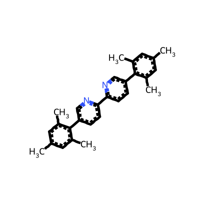 Cc1cc(C)c(-c2ccc(-c3ccc(-c4c(C)cc(C)cc4C)cn3)nc2)c(C)c1